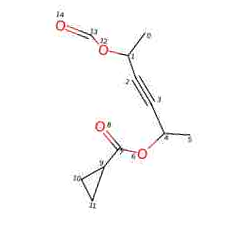 CC(C#CC(C)OC(=O)C1CC1)OC=O